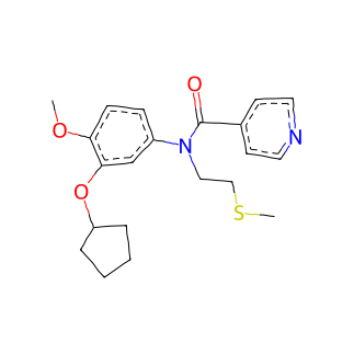 COc1ccc(N(CCSC)C(=O)c2ccncc2)cc1OC1CCCC1